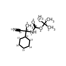 CC(C)(C)OC(=O)NC(C)(C#N)C1CCCCC1